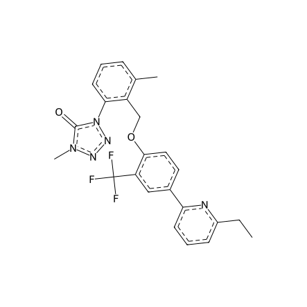 CCc1cccc(-c2ccc(OCc3c(C)cccc3-n3nnn(C)c3=O)c(C(F)(F)F)c2)n1